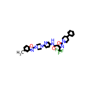 Cc1ccc2oc(N3CCN(c4ccc(NC(=O)c5oc(N6CCC(c7ccccc7)CC6)nc5C(F)(F)F)cn4)CC3)nc2c1